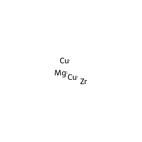 [Cu].[Cu].[Mg].[Zr]